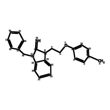 Cc1ccc(OCCn2c(=N)n(Cc3ccccc3)c3ccccc32)cc1